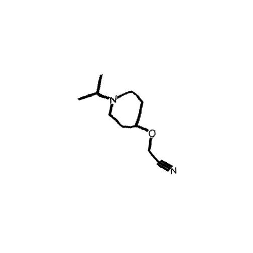 CC(C)N1CCC(OCC#N)CC1